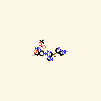 C[C@H]1CC2(CCN(c3ncc(Sc4ccnc5[nH]ccc45)c4nccn34)CC2NC(=O)OC(C)(C)C)CO1